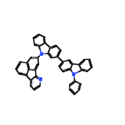 c1ccc(-n2c3ccccc3c3cc(-c4ccc5c6ccccc6n(-c6cc7c8c(cccc8c6)-c6cccnc6-7)c5c4)ccc32)cc1